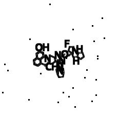 C#Cc1cccc2cc(O)cc(N3CCc4c(nc(OC[C@@]56C[C@@H](F)CN5[C@@H]5CCC[C@@H]5C6)nc4N4CC5CCC(C4)N5)C3)c12